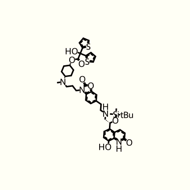 CN(CCCn1c(=O)oc2cc(CCNC[C@H](O[Si](C)(C)C(C)(C)C)c3ccc(O)c4[nH]c(=O)ccc34)ccc21)[C@H]1CC[C@H](OC(=O)C(O)(c2cccs2)c2cccs2)CC1